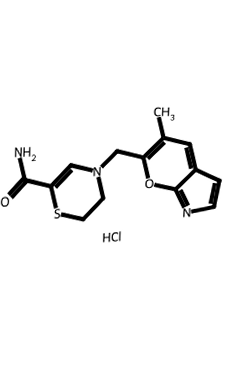 Cc1cc2ccnc-2oc1CN1C=C(C(N)=O)SCC1.Cl